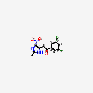 Cc1nc([N+](=O)[O-])c(CC(=O)c2cc(F)cc(Br)c2)[nH]1